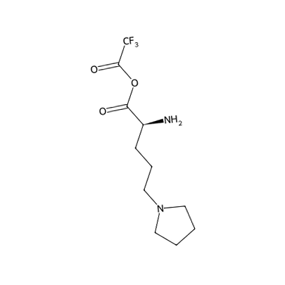 N[C@@H](CCCN1CCCC1)C(=O)OC(=O)C(F)(F)F